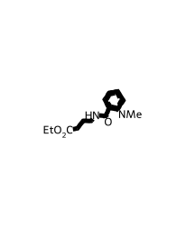 CCOC(=O)CCCNC(=O)c1ccccc1NC